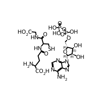 NC(CCC(=O)NC(CS)C(=O)NCC(=O)O)C(=O)O.Nc1ncnc2c1ncn2[C@@H]1O[C@H](COP(=O)(O)OP(=O)(O)O)[C@@H](O)[C@H]1O